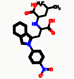 CC(C)CC(NC(Cc1c2ccccc2cn1-c1ccc([N+](=O)[O-])cc1)C(=O)O)C(=O)O